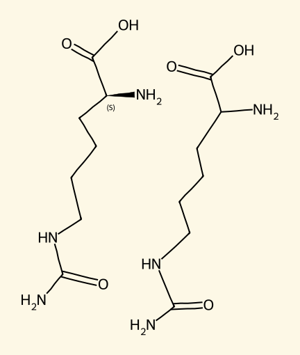 NC(=O)NCCCCC(N)C(=O)O.NC(=O)NCCCC[C@H](N)C(=O)O